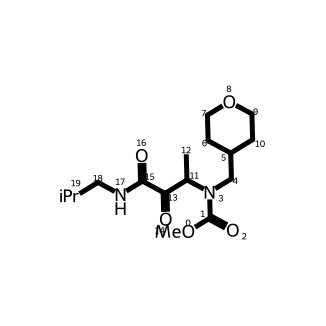 COC(=O)N(CC1CCOCC1)C(C)C(=O)C(=O)NCC(C)C